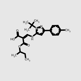 CCC(C)OC(=O)C(=CNc1cc(-c2ccc(C)cc2)nn1C(C)(C)C)C(=O)O